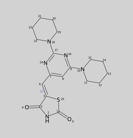 O=C1NC(=O)/C(=C/c2cc(N3CCCCC3)nc(N3CCCCC3)n2)S1